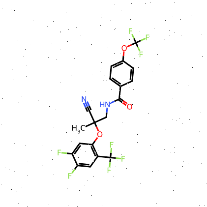 CC(C#N)(CNC(=O)c1ccc(OC(F)(F)F)cc1)Oc1cc(F)c(F)cc1C(F)(F)F